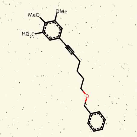 COc1cc(C#CCCCCOCc2ccccc2)cc(C(=O)O)c1OC